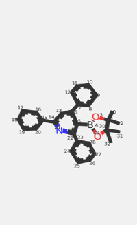 CC1(C)OB(c2c(-c3ccccc3)cc(-c3ccccc3)nc2-c2ccccc2)OC1(C)C